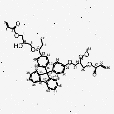 C=CC(=O)OCC(O)COC(CC)c1ccc(C2(c3ccc(OCC(COC(=O)C=C)OOC)cc3)c3ccccc3-c3ccccc32)cc1